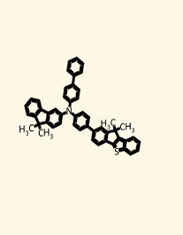 CC1(C)c2ccccc2-c2cc(N(c3ccc(-c4ccccc4)cc3)c3ccc(-c4ccc5c(c4)C(C)(C)c4c-5sc5ccccc45)cc3)ccc21